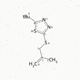 C=C(C)CSc1nnc(C(C)(C)C)s1